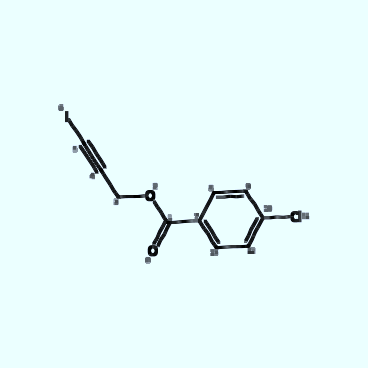 O=C(OCC#CI)c1ccc(Cl)cc1